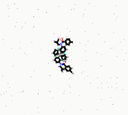 Cc1ccc(C(=O)N(CC(C)C)c2ccc(F)[c]([Ti]([C]3=CC=CC3)([C]3=CC=CC3)[c]3c(F)ccc(N(CC(C)C)C(=O)c4ccc(C)cc4)c3F)c2F)cc1